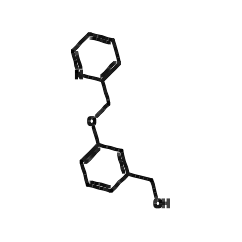 OCc1cccc(OCc2ccccn2)c1